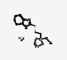 CCO[Si](CCCc1nc2ccccc2s1)(OCC)OCC.S